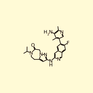 Cc1ncc(-c2cc3cc(Nc4cc5n(n4)CC(=O)N(C(C)C)CC5)ncc3cc2F)c(C)c1N